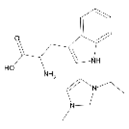 CCN1C=CN(C)C1.NC(Cc1c[nH]c2ccccc12)C(=O)O